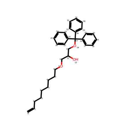 C=CCCCCCCCOCC(O)COC(c1ccccc1)(c1ccccc1)c1ccccc1